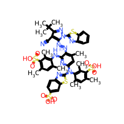 Cc1cc(N(c2nc3ccc(S(=O)(=O)O)cc3s2)c2c(C)cc(C)c(S(=O)(=O)O)c2C)nc(Nc2c(C)cc(C)c(S(=O)(=O)O)c2C)c1/N=N/c1c(C#N)c(C(C)(C)C)nn1-c1nc2ccccc2s1